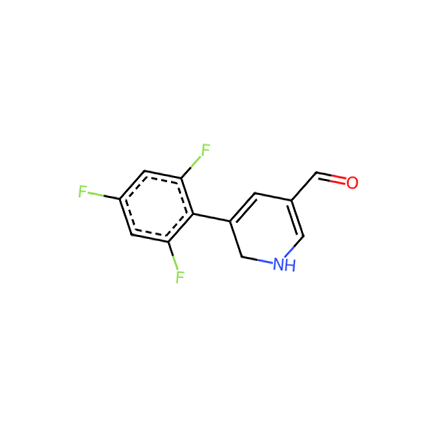 O=CC1=CNCC(c2c(F)cc(F)cc2F)=C1